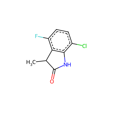 CC1C(=O)Nc2c(Cl)ccc(F)c21